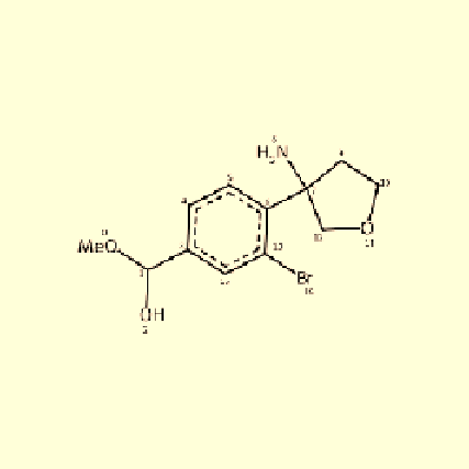 COC(O)c1ccc(C2(N)CCOC2)c(Br)c1